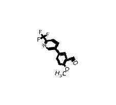 COc1ccc(-c2ccc(C(F)(F)F)nc2)cc1C=O